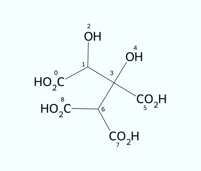 O=C(O)C(O)C(O)(C(=O)O)C(C(=O)O)C(=O)O